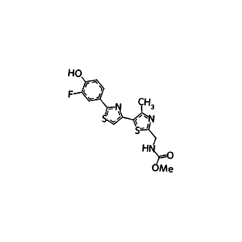 COC(=O)NCc1nc(C)c(-c2csc(-c3ccc(O)c(F)c3)n2)s1